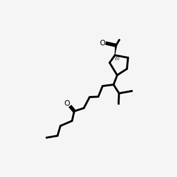 CCCCC(=O)CCCCC(C(C)C)C1CC[C@H](C(C)=O)C1